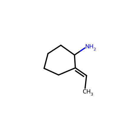 CC=C1CCCCC1N